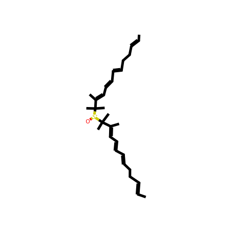 C/C=C/CC/C=C/C=C/C=C(\C)C(C)(C)[S+]([O-])C(C)(C)/C(C)=C/C=C/C=C/CC/C=C/C